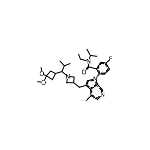 CCN(C(=O)c1cc(F)ccc1-n1cc(CC2CN(C(C(C)C)C3CC(OC)(OC)C3)C2)c2c(C)cncc21)C(C)C